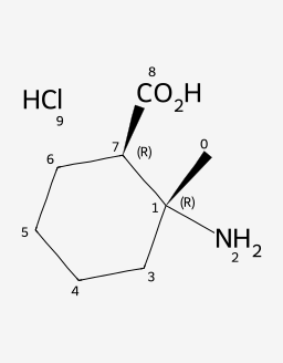 C[C@@]1(N)CCCC[C@H]1C(=O)O.Cl